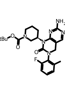 Cc1cccc(F)c1N1Cc2cnc(N)nc2N([C@@H]2CCCN(C(=O)OC(C)(C)C)C2)C1=O